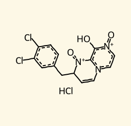 Cl.O=[N+]1c2c(O)[n+](=O)ccn2C=CC1Cc1ccc(Cl)c(Cl)c1